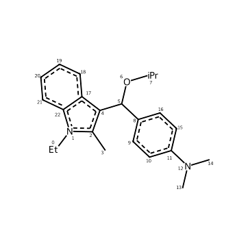 CCn1c(C)c(C(OC(C)C)c2ccc(N(C)C)cc2)c2ccccc21